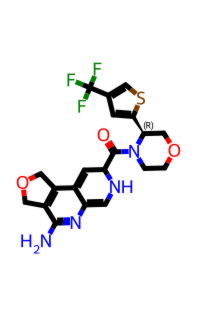 Nc1nc2c(c3c1COC3)=CC(C(=O)N1CCOC[C@@H]1c1cc(C(F)(F)F)cs1)NC=2